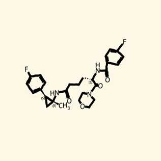 C[C@@]1(NC(=O)CCC[C@H](NC(=O)c2ccc(F)cc2)C(=O)N2CCOCC2)C[C@H]1c1ccc(F)cc1